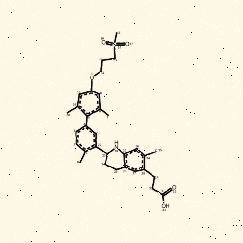 Cc1ccc(-c2c(C)cc(OCCCS(C)(=O)=O)cc2C)cc1C1CCc2cc(CCC(=O)O)c(F)cc2N1